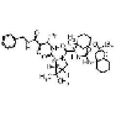 CCCC(NC(=O)[C@@H]1[C@@H]2[C@H](CN1C(=O)[C@@H](NC(=O)NC1(CS(=O)(=O)C(C)(C)C)CCCCC1)C1(C)CCCCC1)C2(C)C)C(=O)C(=O)NCc1ccccc1